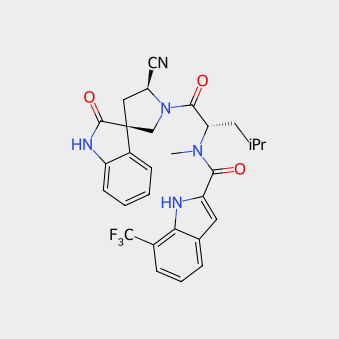 CC(C)C[C@@H](C(=O)N1C[C@]2(C[C@H]1C#N)C(=O)Nc1ccccc12)N(C)C(=O)c1cc2cccc(C(F)(F)F)c2[nH]1